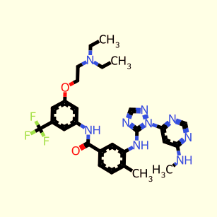 CCN(CC)CCOc1cc(NC(=O)c2ccc(C)c(Nc3ncnn3-c3cc(NC)ncn3)c2)cc(C(F)(F)F)c1